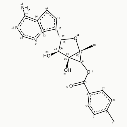 Cc1ccc(C(=O)OC2[C@@]3(C)O[C@@H](c4ccc5c(N)ncnn45)[C@H](O)[C@@]23O)cc1